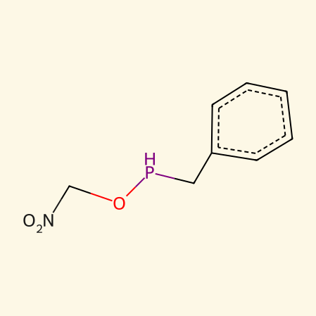 O=[N+]([O-])COPCc1ccccc1